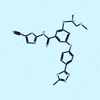 COC[C@H](C)Oc1cc(Oc2ccc(-c3nnc(C)o3)cc2)cc(C(=O)Nc2ncc(C#N)s2)c1